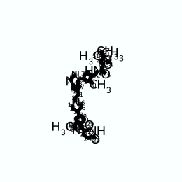 Cc1cc(-c2ncnn3cc(CCN4CCC(c5ccc6c(C7CCC(=O)NC7=O)nn(C)c6c5)CC4)cc23)ccc1CNC(=O)c1cc(C(C)(C)C)no1